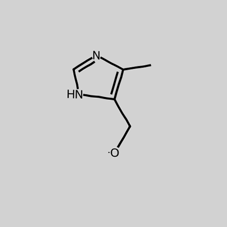 Cc1nc[nH]c1C[O]